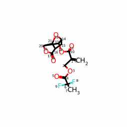 C=C(COC(=O)C(C)(F)F)C(=O)OC1C2CC3C(=O)OC1C3O2